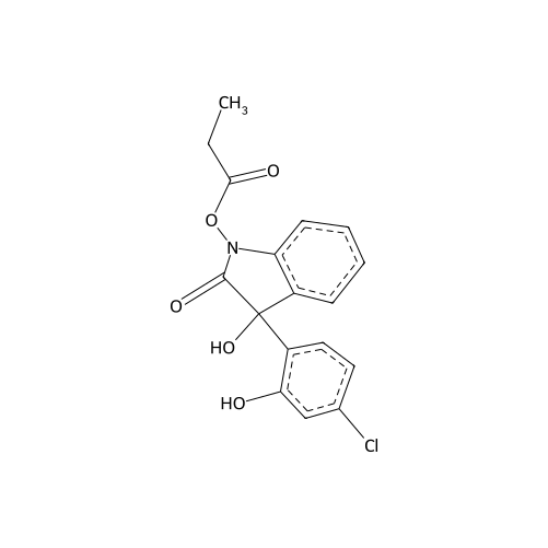 CCC(=O)ON1C(=O)C(O)(c2ccc(Cl)cc2O)c2ccccc21